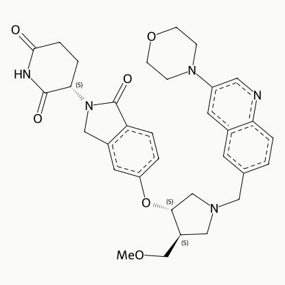 COC[C@@H]1CN(Cc2ccc3ncc(N4CCOCC4)cc3c2)C[C@H]1Oc1ccc2c(c1)CN([C@H]1CCC(=O)NC1=O)C2=O